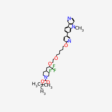 Cn1c2ccncc2c2ccc(-c3ccc(OCCCCCOCCOC(CC4CCN(C(=O)OC(C)(C)C)CC4)C(F)(F)F)nc3)cc21